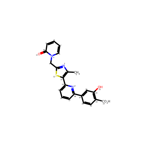 Cc1nc(Cn2ccccc2=O)sc1-c1cccc(-c2ccc(C(=O)O)c(O)c2)n1